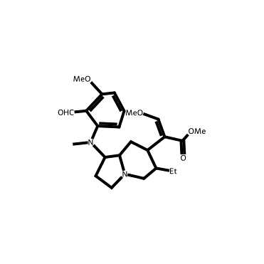 CCC1CN2CCC(N(C)c3cccc(OC)c3C=O)C2CC1/C(=C\OC)C(=O)OC